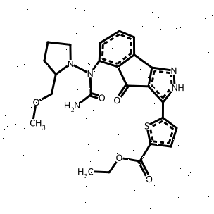 CCOC(=O)c1ccc(-c2[nH]nc3c2C(=O)c2c-3cccc2N(C(N)=O)N2CCCC2COC)s1